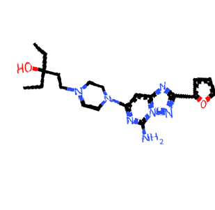 CCC(O)(CC)CCN1CCN(c2cc3nc(-c4ccco4)nn3c(N)n2)CC1